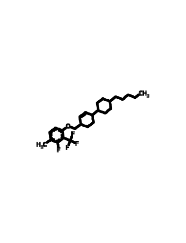 CCCCCC1CCC(C2C=CC(COc3ccc(C)c(F)c3C(F)(F)F)CC2)CC1